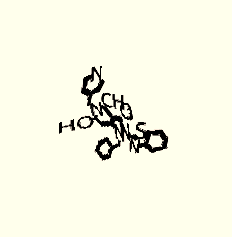 CC1=c2c(n(Cc3ccccc3)n(-c3nc4ccccc4s3)c2=O)=CC(O)N1Cc1ccncc1